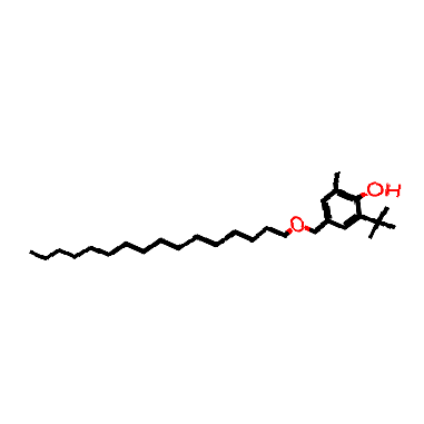 CCCCCCCCCCCCCCCCOCc1cc(C)c(O)c(C(C)(C)C)c1